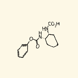 O=C(O)N[C@H]1CCCC[C@@H]1NC(=O)Oc1ccccc1